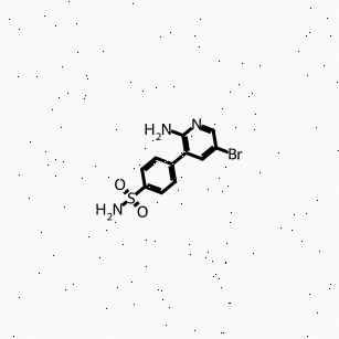 Nc1ncc(Br)cc1-c1ccc(S(N)(=O)=O)cc1